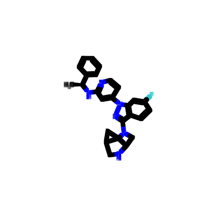 C[C@H](Nc1cc(-n2nc(N3CC4NCC5CC543)c3ccc(F)cc32)ccn1)c1ccccc1